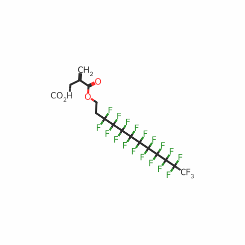 C=C(CC(=O)O)C(=O)OCCC(F)(F)C(F)(F)C(F)(F)C(F)(F)C(F)(F)C(F)(F)C(F)(F)C(F)(F)C(F)(F)C(F)(F)F